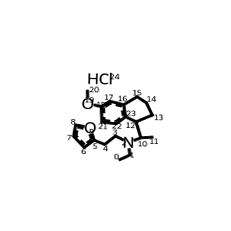 CCN(CCc1ccco1)C(C)C1CCCc2cc(OC)ccc21.Cl